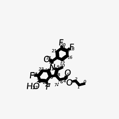 CCCOC(=O)[C@H](C)c1c(C)n(C(=O)c2ccc(F)c(F)c2)c2cc(F)c(O)c(F)c12